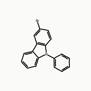 Brc1c[c]c2c(c1)c1ccccc1n2-c1ccccc1